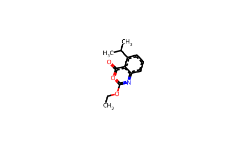 CCOc1nc2cccc(C(C)C)c2c(=O)o1